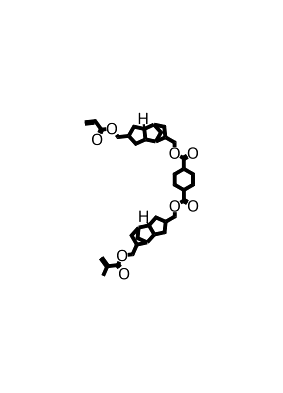 C=CC(=O)OCC1CC2C3CC(CC3COC(=O)C3CCC(C(=O)OCC4CC5C6CC(CC6COC(=O)C(=C)C)[C@H]5C4)CC3)[C@H]2C1